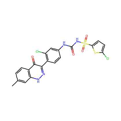 Cc1ccc2c(=O)c(-c3ccc(NC(=O)NS(=O)(=O)c4ccc(Cl)s4)cc3Cl)n[nH]c2c1